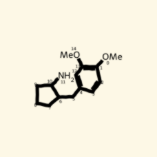 COc1ccc(CC2CCCC2N)cc1OC